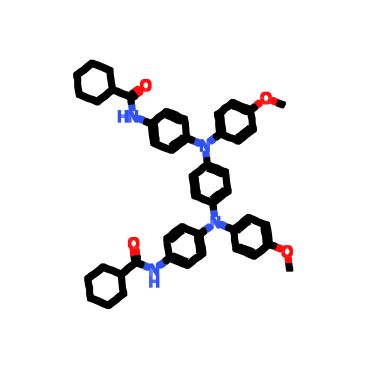 COc1ccc(N(c2ccc(NC(=O)C3CCCCC3)cc2)c2ccc(N(c3ccc(NC(=O)C4CCCCC4)cc3)c3ccc(OC)cc3)cc2)cc1